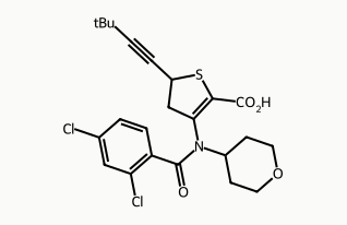 CC(C)(C)C#CC1CC(N(C(=O)c2ccc(Cl)cc2Cl)C2CCOCC2)=C(C(=O)O)S1